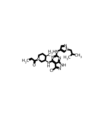 C=CC(=O)N1CC[C@@H](C)[C@@H](Nc2nc(Nc3cnn(CC(C)C)c3)nc3[nH]nc(Cl)c23)C1